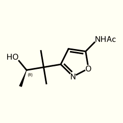 CC(=O)Nc1cc(C(C)(C)[C@@H](C)O)no1